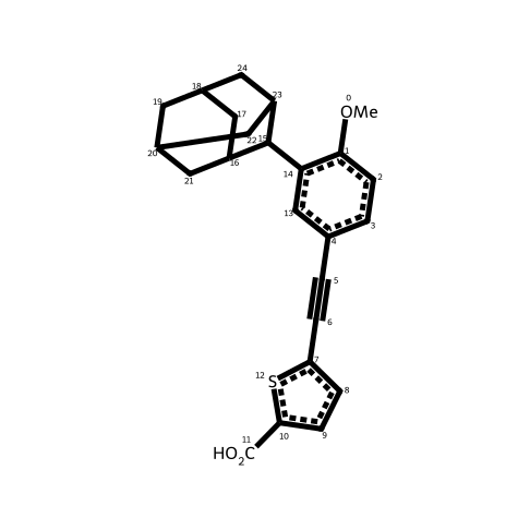 COc1ccc(C#Cc2ccc(C(=O)O)s2)cc1C1C2CC3CC(C2)CC1C3